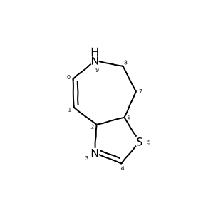 C1=CC2N=CSC2CCN1